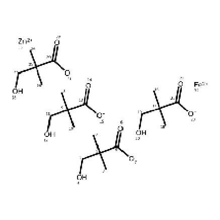 CC(C)(CO)C(=O)[O-].CC(C)(CO)C(=O)[O-].CC(C)(CO)C(=O)[O-].CC(C)(CO)C(=O)[O-].[Fe+2].[Zn+2]